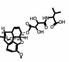 COc1ccc2c3c1O[C@H]1[C@@H](OC(=O)C(O)C(O)C(=O)NC(C(=O)O)C(C)C)C=CC4[C@@H](C2)N(C)CC[C@@]341